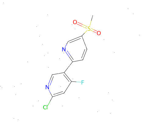 CS(=O)(=O)c1ccc(-c2cnc(Cl)cc2F)nc1